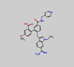 CCn1cc(Cc2ccc(C(=O)NCc3ccncc3)cc2-c2ccc(OC)cc2C(=O)O)c2ccc(C(=N)N)cc21